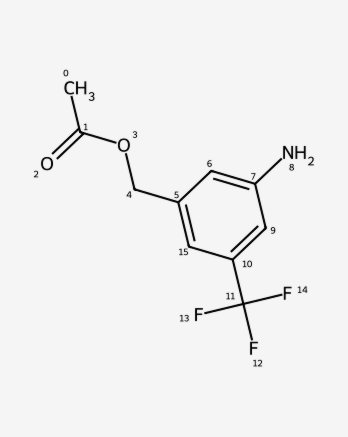 CC(=O)OCc1cc(N)cc(C(F)(F)F)c1